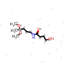 CO[Si](C)(CCCNC(=O)CCCO)OC